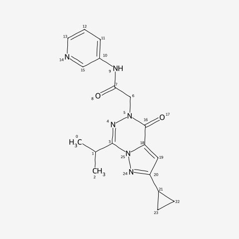 CC(C)c1nn(CC(=O)Nc2cccnc2)c(=O)c2cc(C3CC3)nn12